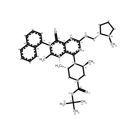 Cc1nc2c(N3[C@@H](C)CN(C(=O)OC(C)(C)C)C[C@@H]3C)nc(OC[C@@H]3CCCN3C)nc2c(=O)n1-c1cccc2ccccc12